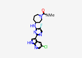 CNC(=O)N1CCCC(Nc2nc(-c3c[nH]c4ncc(Cl)cc34)ncc2F)CC1